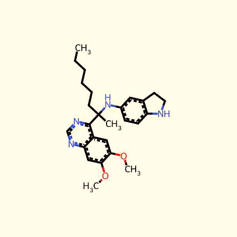 CCCCCCC(C)(Nc1ccc2c(c1)CCN2)c1ncnc2cc(OC)c(OC)cc12